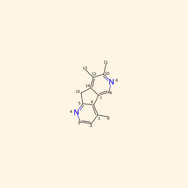 Cc1ccnc2c1-c1cnc(C)c(C)c1C2